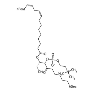 CCCCC/C=C\C/C=C\CCCCCCCC(=O)O[C@@H](CO)C(OP(=O)([O-])OCC[N+](C)(C)C)C(=O)CCCCCCCCCCCCCCC